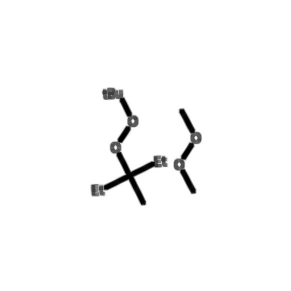 CCC(C)(CC)OOC(C)(C)C.COOC